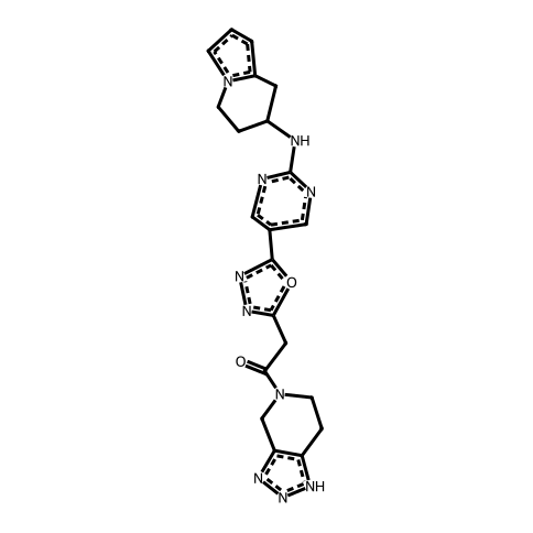 O=C(Cc1nnc(-c2cnc(NC3CCn4cccc4C3)nc2)o1)N1CCc2[nH]nnc2C1